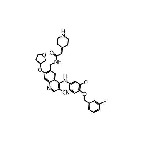 N#Cc1cnc2cc(OC3CCOC3)c(CNC(=O)C=C3CCNCC3)cc2c1Nc1ccc(OCc2cccc(F)c2)c(Cl)c1